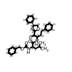 CC(C)CC(NC(=O)OCc1ccccc1)C(=O)NC(CCc1ccccc1)C(=O)C1=N[C@@H](c2ccccc2)CO1